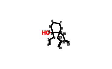 C=CCC1(O)CCCCC1(CC=C)CC=C